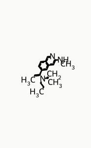 C=C(C)N(CCC)/C(=C\C)c1ccc2cnc(NC)cc2c1